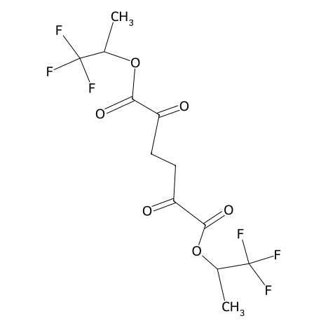 CC(OC(=O)C(=O)CCC(=O)C(=O)OC(C)C(F)(F)F)C(F)(F)F